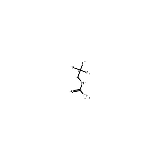 CC(=O)[N]CC(F)(F)F